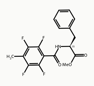 COC(=O)[C@H](Cc1ccccc1)NC(=O)c1c(F)c(F)c(C)c(F)c1F